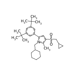 Cc1c(S(=O)(=O)CC2CC2)cc(-c2cc(C(C)(C)C)cc(C(C)(C)C)c2)n1CC1CCCCC1